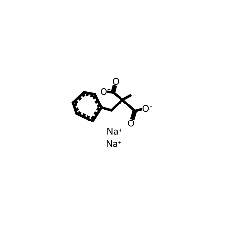 CC(Cc1ccccc1)(C(=O)[O-])C(=O)[O-].[Na+].[Na+]